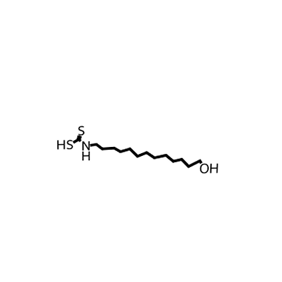 OCCCCCCCCCCCCCNC(=S)S